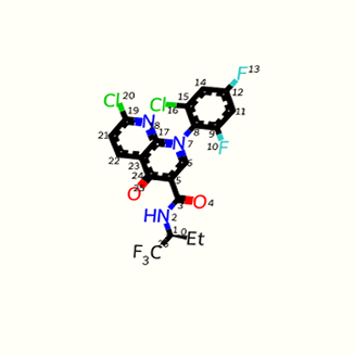 CC[C@H](NC(=O)c1cn(-c2c(F)cc(F)cc2Cl)c2nc(Cl)ccc2c1=O)C(F)(F)F